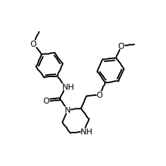 COc1ccc(NC(=O)N2CCNCC2COc2ccc(OC)cc2)cc1